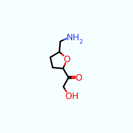 NCC1CCC(C(=O)CO)O1